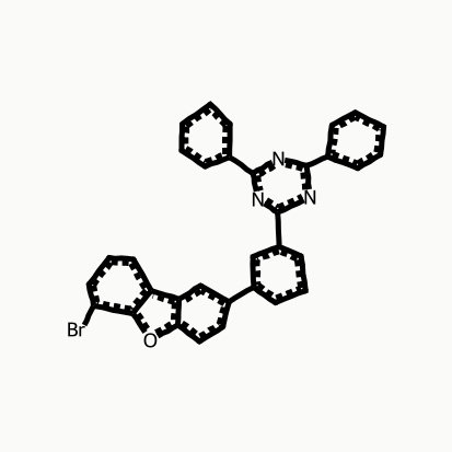 Brc1cccc2c1oc1ccc(-c3cccc(-c4nc(-c5ccccc5)nc(-c5ccccc5)n4)c3)cc12